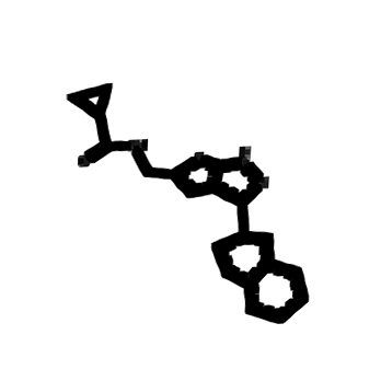 O=C(NCc1cc2c(-c3ccc4ccccc4c3)n[nH]c2s1)C1CC1